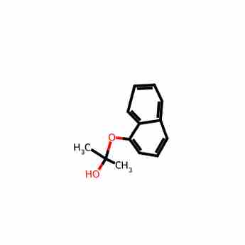 CC(C)(O)Oc1cccc2ccccc12